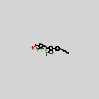 C/C=C/CCc1ccc(-c2ccc(CCc3ccc(C(C)O)c(F)c3F)c(C(F)(F)F)c2F)cc1